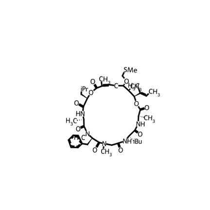 C/C=C(\C)[C@H]1OC(=O)[C@H](C)NC(=O)[C@H](C(C)CC)NC(=O)CN(C)C(=O)[C@@H](Cc2ccccc2)N(C)C(=O)[C@H](C)NC(=O)[C@@H](CC(C)C)OC(=O)/C(C)=C/C[C@@H](OCSC)[C@H]1C